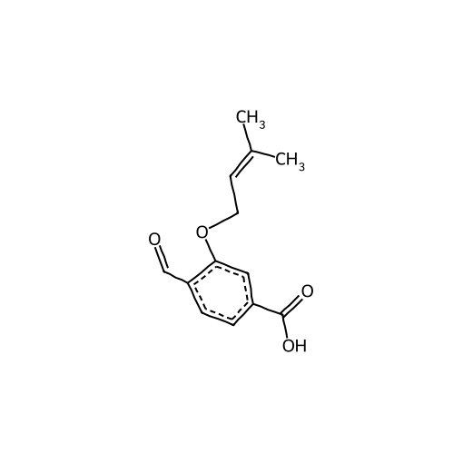 CC(C)=CCOc1cc(C(=O)O)ccc1C=O